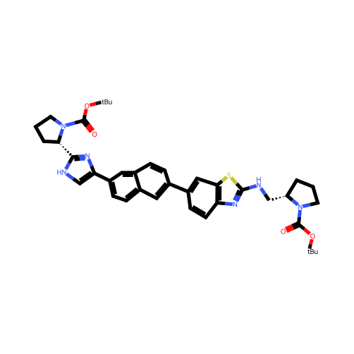 CC(C)(C)OC(=O)N1CCC[C@H]1CNc1nc2ccc(-c3ccc4cc(-c5c[nH]c([C@@H]6CCCN6C(=O)OC(C)(C)C)n5)ccc4c3)cc2s1